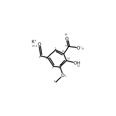 COc1cc(C=O)cc(C(=O)[O-])c1O.[K+]